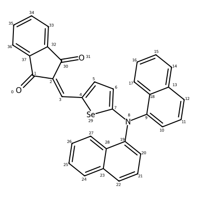 O=C1C(=Cc2ccc(N(c3cccc4ccccc34)c3cccc4ccccc34)[se]2)C(=O)c2ccccc21